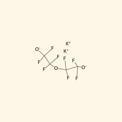 [K+].[K+].[O-]C(F)(F)C(F)(F)OC(F)(F)C([O-])(F)F